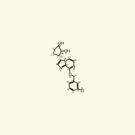 O[C@@H]1[C@H](O)CS[C@H]1c1cnc2c(OCc3cccc(Cl)c3)nccn12